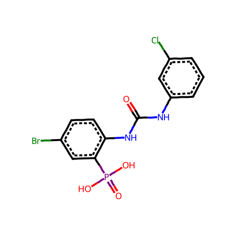 O=C(Nc1cccc(Cl)c1)Nc1ccc(Br)cc1P(=O)(O)O